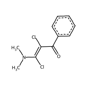 CN(C)C(Cl)=C(Cl)C(=O)c1ccccc1